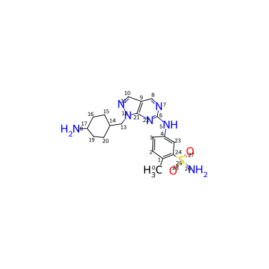 Cc1ccc(Nc2ncc3cnn(CC4CCC(N)CC4)c3n2)cc1S(N)(=O)=O